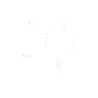 C=C1NC=CC(=O)C1C(C)(C)C